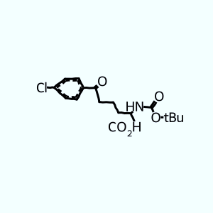 CC(C)(C)OC(=O)NC(CCCC(=O)c1ccc(Cl)cc1)C(=O)O